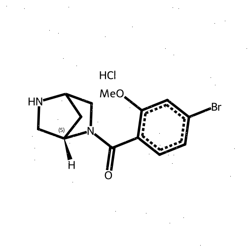 COc1cc(Br)ccc1C(=O)N1CC2C[C@H]1CN2.Cl